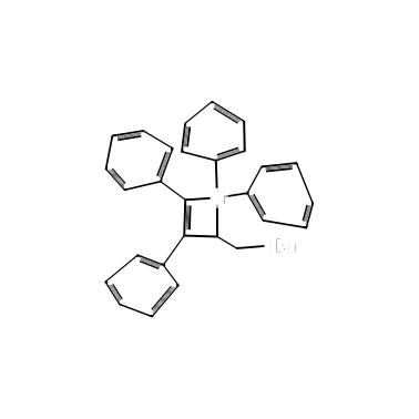 CC(C)(C)CC1C(c2ccccc2)=C(c2ccccc2)[Si]1(c1ccccc1)c1ccccc1